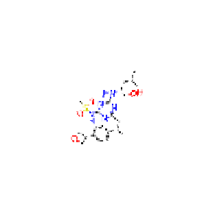 CC(C)CC(CO)Nc1nc(CC(C)c2ccc(C3COC3)cc2)nc(NS(C)(=O)=O)n1